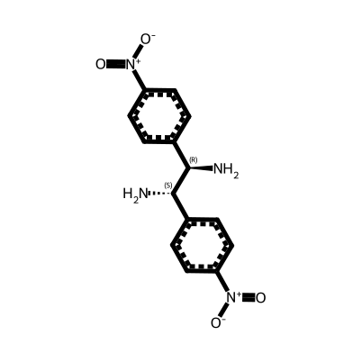 N[C@H](c1ccc([N+](=O)[O-])cc1)[C@@H](N)c1ccc([N+](=O)[O-])cc1